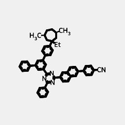 CCC1(c2ccc(-c3cc(-c4ccccc4)cc(-c4nc(-c5ccccc5)nc(-c5ccc6cc(-c7ccc(C#N)cc7)ccc6c5)n4)c3)cc2)C[C@H](C)CC[C@H](C)C1